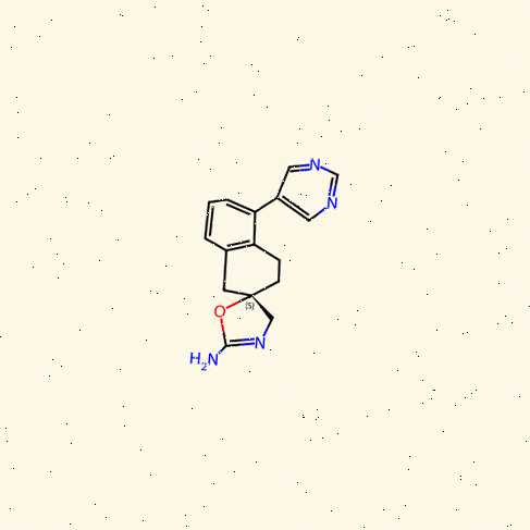 NC1=NC[C@@]2(CCc3c(cccc3-c3cncnc3)C2)O1